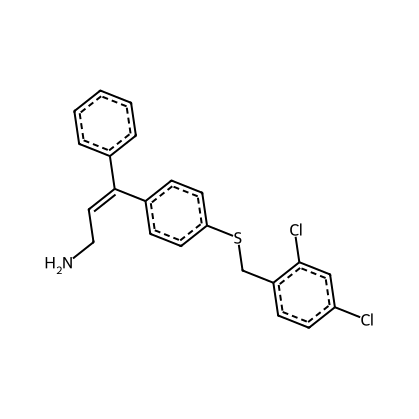 NCC=C(c1ccccc1)c1ccc(SCc2ccc(Cl)cc2Cl)cc1